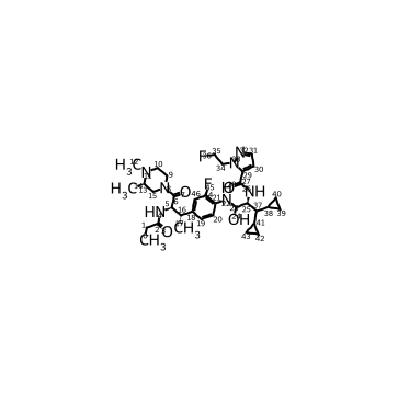 CCC(=O)N[C@@H](C(=O)N1CCN(C)[C@H](C)C1)[C@@H](C)c1ccc(NC(O)[C@@H](NC(=O)c2ccnn2CCF)C(C2CC2)C2CC2)c(F)c1